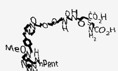 CCCCCNc1nc(N)nc2ccn(Cc3ccc(CN4CCN(C(=O)CCOCCOCCNC(=O)CNC(=O)C[C@@H](SC[C@H](N)C(=O)O)C(=O)O)CC4)cc3OC)c12